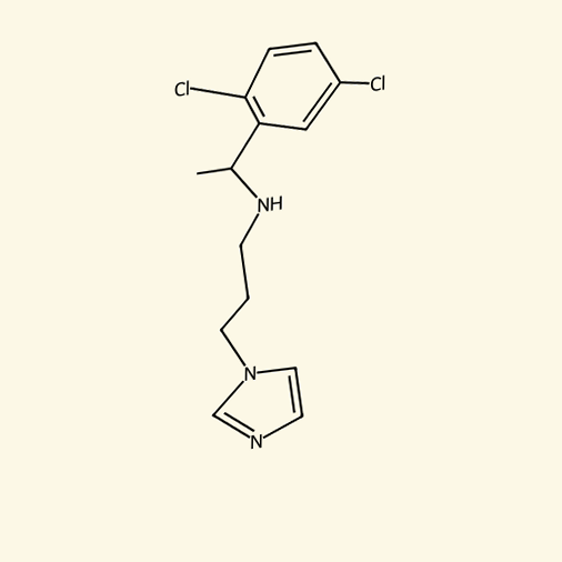 CC(NCCCn1ccnc1)c1cc(Cl)ccc1Cl